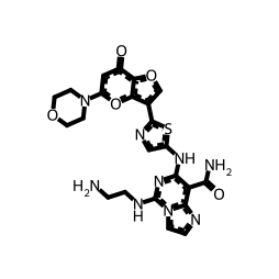 NCCNc1nc(Nc2cnc(-c3coc4c(=O)cc(N5CCOCC5)oc34)s2)c(C(N)=O)c2nccn12